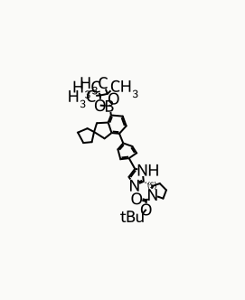 CC(C)(C)OC(=O)N1CCC[C@H]1c1ncc(-c2ccc(-c3ccc(B4OC(C)(C)C(C)(C)O4)c4c3CC3(CCCC3)C4)cc2)[nH]1